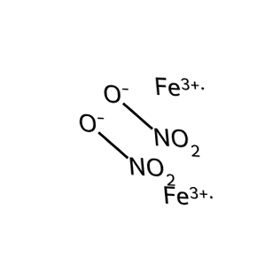 O=[N+]([O-])[O-].O=[N+]([O-])[O-].[Fe+3].[Fe+3]